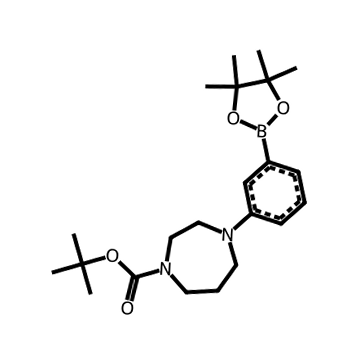 CC(C)(C)OC(=O)N1CCCN(c2cccc(B3OC(C)(C)C(C)(C)O3)c2)CC1